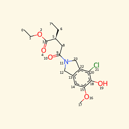 CCOC(=O)[C@@H](CC)CC(=O)N1Cc2cc(OC)c(O)c(Cl)c2C1